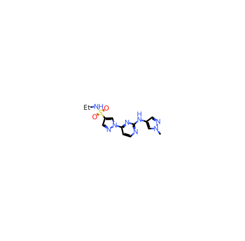 CCNS(=O)(=O)c1cnn(-c2ccnc(Nc3cnn(C)c3)n2)c1